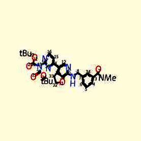 CNC(=O)c1cccc(CNc2ncc(-c3ccnc(N(C(=O)OC(C)(C)C)C(=O)OC(C)(C)C)n3)c3c2OCC3)c1